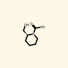 O=C(O)N1CCCC[C@H]1CO